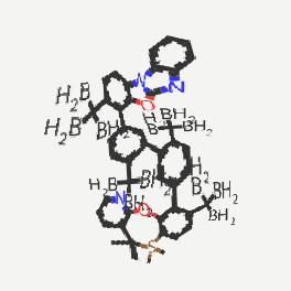 BC(B)(B)c1ccc(-c2c(C(B)(B)B)ccc3c2Oc2ncccc2C(C)(C)S3(C)C)cc1-c1cc(-c2c(C(B)(B)B)ccc3c2oc2nc4ccccc4n23)ccc1C(B)(B)B